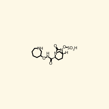 O=C(NOC1CCCCNC1)[C@@H]1CC[C@@H]2CN1C(=O)N2OS(=O)(=O)O